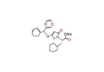 COC(=O)[C@H](CC1CCCCC1)N1CC(OC(C2=CC=CCC2)C2=COC=CO2)=CC1=O